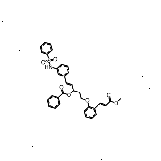 COC(=O)/C=C/c1ccccc1OCCC(C=Cc1cccc(NS(=O)(=O)c2ccccc2)c1)OC(=O)c1ccccc1